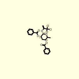 C=C(O[C@@H]1OC(C)[C@H](OC(=O)c2ccccc2)C[C@@H]1OC(=O)c1ccccc1)C(Cl)(Cl)Cl